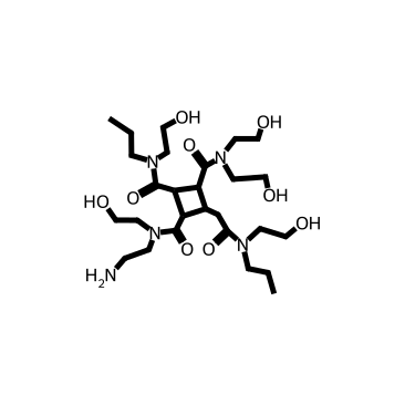 CCCN(CCO)C(=O)CC1C(C(=O)N(CCN)CCO)C(C(=O)N(CCC)CCO)C1C(=O)N(CCO)CCO